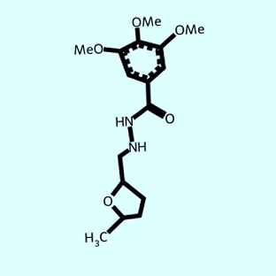 COc1cc(C(=O)NNCC2CCC(C)O2)cc(OC)c1OC